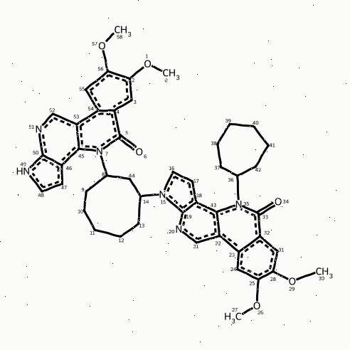 COc1cc2c(=O)n(C3CCCCCC(n4ccc5c4ncc4c6cc(OC)c(OC)cc6c(=O)n(C6CCCCCC6)c45)C3)c3c4cc[nH]c4ncc3c2cc1OC